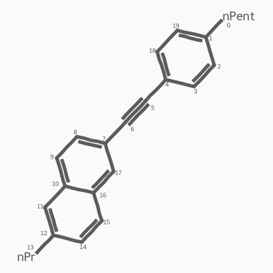 CCCCCc1ccc(C#Cc2ccc3cc(CCC)ccc3c2)cc1